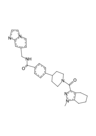 Cn1nc(C(=O)N2CCC(c3ccc(C(=O)NCc4ccn5ccnc5c4)cc3)CC2)c2c1CCCC2